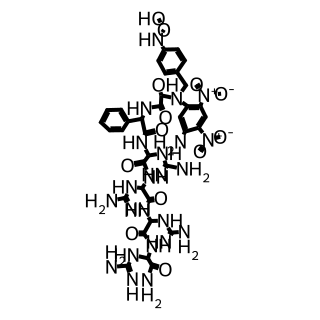 N=C(N)NC(NC(=O)C(NC(=N)N)NC(=O)C(NC(=N)N)NC(=O)C(NC(=N)N)NC(=O)C(NC(=O)C(O)N(Cc1ccc(NOO)cc1)c1cc(N)c([N+](=O)[O-])cc1[N+](=O)[O-])c1ccccc1)C(N)=O